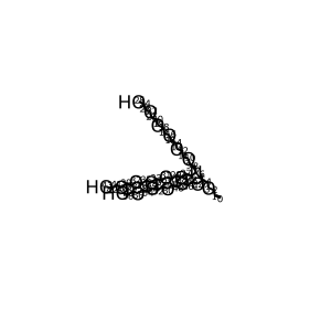 C=CCOCC(CN(CCOCCOCCOCCOCCOCCO)CCOCCOCCOCCOCCOCCO)OCCOCCOCCOCCOCCO